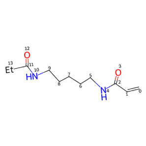 C=CC(=O)NCCCCCNC(=O)CC